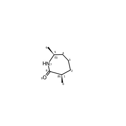 C[C@@H]1CCC[C@H](C)NC1=O